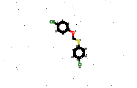 Clc1ccc(OCSc2ccc(Cl)cc2)cc1